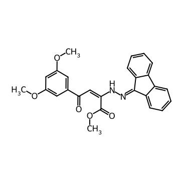 COC(=O)C(=CC(=O)c1cc(OC)cc(OC)c1)NN=C1c2ccccc2-c2ccccc21